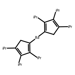 CC(C)C1=C(C(C)C)C(C(C)C)=[C]([Ba][C]2=C(C(C)C)C(C(C)C)=C(C(C)C)C2)C1